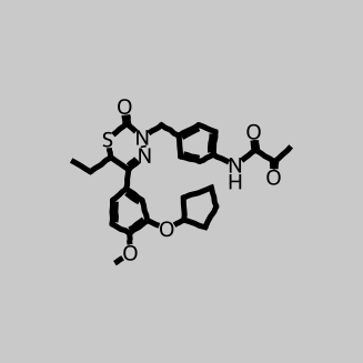 CCC1SC(=O)N(Cc2ccc(NC(=O)C(C)=O)cc2)N=C1c1ccc(OC)c(OC2CCCC2)c1